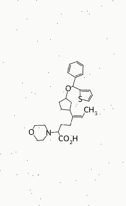 CC=C(CCC(C(=O)O)N1CCOCC1)C1CCC(OC(c2ccccc2)c2cccs2)C1